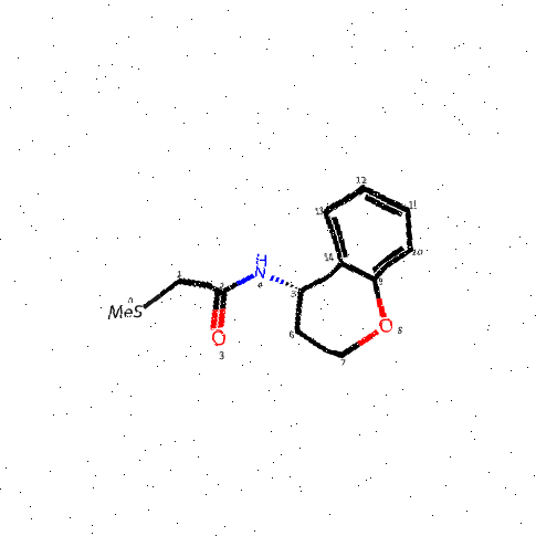 CSCC(=O)N[C@H]1CCOc2ccccc21